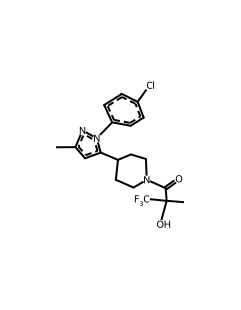 Cc1cc(C2CCN(C(=O)C(C)(O)C(F)(F)F)CC2)n(-c2ccc(Cl)cc2)n1